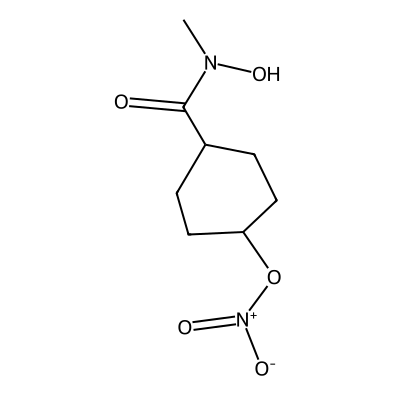 CN(O)C(=O)C1CCC(O[N+](=O)[O-])CC1